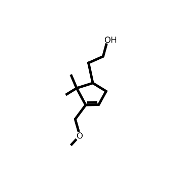 COCC1=CCC(CCO)C1(C)C